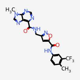 Cc1ccc(NC(=O)c2cc(CNC(=O)c3ncnc4c3ncn4C)no2)cc1C(F)(F)F